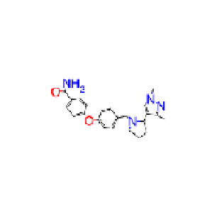 Cc1nn(C)cc1C1CCCN1Cc1ccc(Oc2ccc(C(N)=O)cc2)cc1